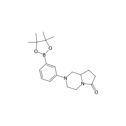 CC1(C)OB(c2cccc(N3CCN4C(=O)CCC4C3)c2)OC1(C)C